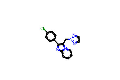 Clc1ccc(-c2nc3ccccn3c2Cn2nccn2)cc1